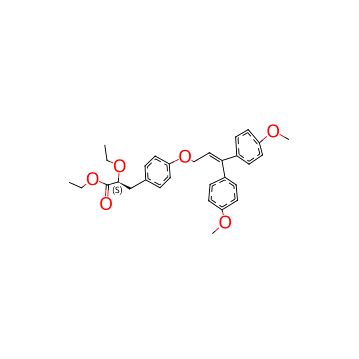 CCOC(=O)[C@H](Cc1ccc(OCC=C(c2ccc(OC)cc2)c2ccc(OC)cc2)cc1)OCC